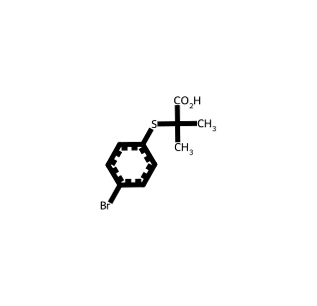 CC(C)(Sc1ccc(Br)cc1)C(=O)O